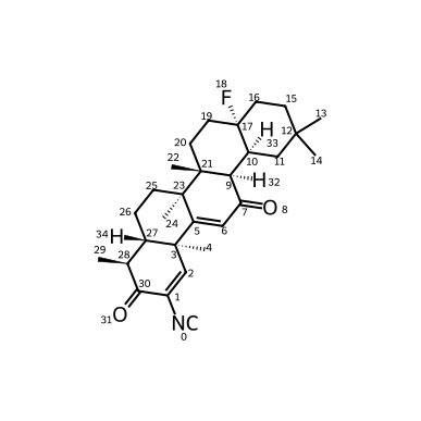 [C-]#[N+]C1=C[C@]2(C)C3=CC(=O)[C@@H]4[C@@H]5CC(C)(C)CC[C@]5(F)CC[C@@]4(C)[C@]3(C)CC[C@H]2[C@H](C)C1=O